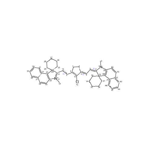 CN1/C(=C/C=C2\CCC(/C=C/C3=[N+](C)c4ccc5ccccc5c4C34CCCCC4)=C2Cl)C2(CCCCC2)c2c1ccc1ccccc21